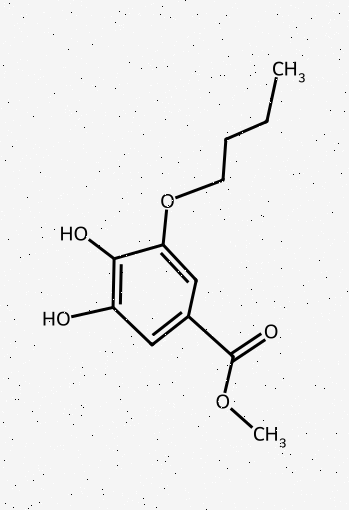 CCCCOc1cc(C(=O)OC)cc(O)c1O